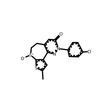 Cc1cc2c(s1)[S+]([O-])CCc1cc(=O)n(-c3ccc(Cl)cc3)nc1-2